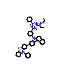 C/C=C\C=C(/CC)C1=NC(c2cccc(-n3c4cc(-c5ccc6c(c5)N(c5ccccc5)c5ccccc5S6)ccc4c4c5ccccc5ccc43)c2)=NC(c2ccccc2)N1